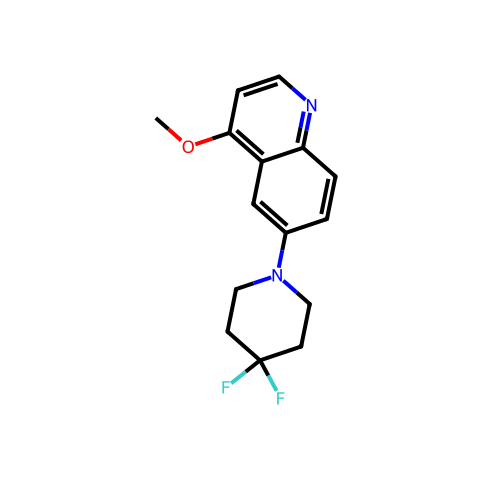 COc1ccnc2ccc(N3CCC(F)(F)CC3)cc12